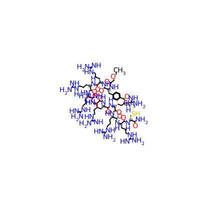 CCOCC(=O)N[C@@H](Cc1ccc(C(C)=O)cc1)C(=O)N[C@H](CCCNC(=N)N)C(=O)N[C@H](CCCNC(=N)N)C(=O)N[C@H](CCCNC(=N)N)C(=O)N[C@H](CCCNC(=N)N)C(=O)N[C@H](CCCNC(=N)N)C(=O)N[C@H](CCCNC(=N)N)C(=O)N[C@H](CCCNC(=N)N)C(=O)N[C@H](CCCNC(=N)N)C(=O)N[C@H](CS)C(N)=O